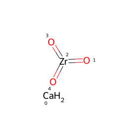 [CaH2].[O]=[Zr](=[O])=[O]